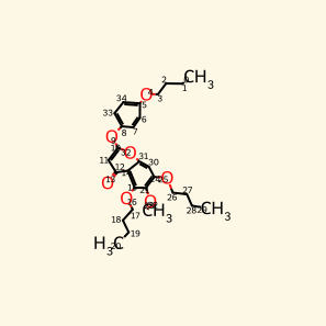 CCCCOc1ccc(Oc2cc(=O)c3c(OCCCC)c(OC)c(OCCCC)cc3o2)cc1